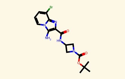 CC(C)(C)OC(=O)N1CC(NC(=O)c2nc3c(Br)cccn3c2N)C1